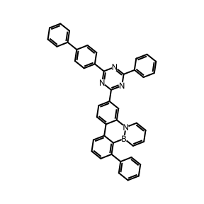 C1=CB2c3c(-c4ccccc4)cccc3-c3ccc(-c4nc(-c5ccccc5)nc(-c5ccc(-c6ccccc6)cc5)n4)cc3N2C=C1